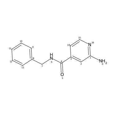 Nc1cc(C(=O)NCc2ccccc2)ccn1